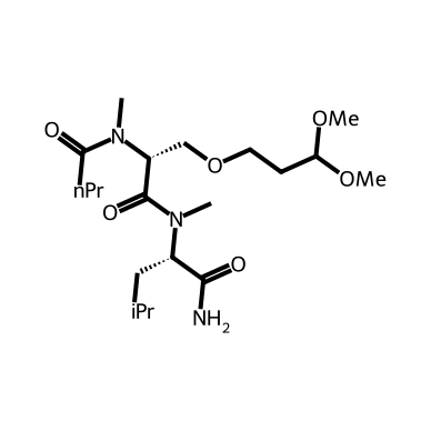 CCCC(=O)N(C)[C@H](COCCC(OC)OC)C(=O)N(C)[C@@H](CC(C)C)C(N)=O